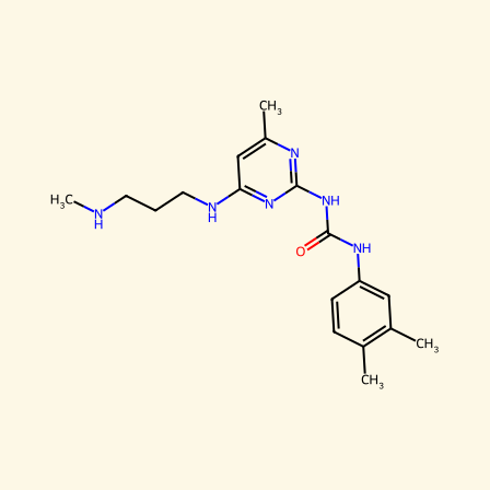 CNCCCNc1cc(C)nc(NC(=O)Nc2ccc(C)c(C)c2)n1